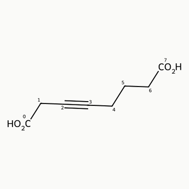 O=C(O)CC#CCCCC(=O)O